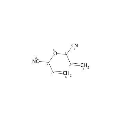 C=CC(C#N)OC(C#N)C=C